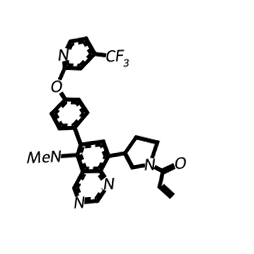 C=CC(=O)N1CCC(c2cc(-c3ccc(Oc4cc(C(F)(F)F)ccn4)cc3)c(NC)c3cncnc23)C1